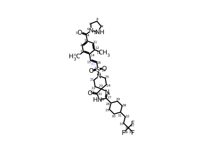 Cc1cc(C(=O)N2CCCN2)cc(C)c1/C=C/S(=O)(=O)N1CCC2(CC1)N=C(C1CCC(CCC(F)(F)F)CC1)NC2=O